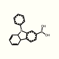 OB(O)c1ccc2c(c1)N(c1ccccc1)C1C=CC=CC21